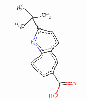 CC(C)(C)c1ccc2cc(C(=O)O)ccc2n1